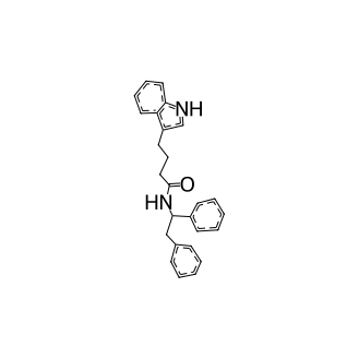 O=C(CCCc1c[nH]c2ccccc12)NC(Cc1ccccc1)c1ccccc1